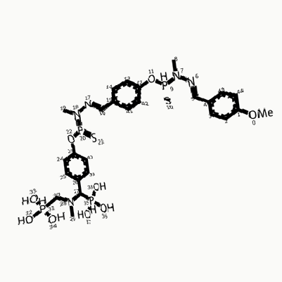 COc1ccc(/C=N/N(C)[PH](=S)Oc2ccc(/C=N/N(C)[PH](=S)Oc3ccc(C(N(C)C[PH](O)(O)O)[PH](O)(O)O)cc3)cc2)cc1